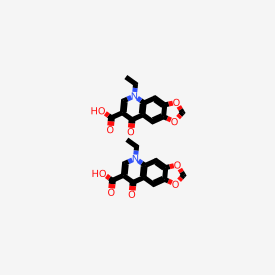 CCn1cc(C(=O)O)c(=O)c2cc3c(cc21)OCO3.CCn1cc(C(=O)O)c(=O)c2cc3c(cc21)OCO3